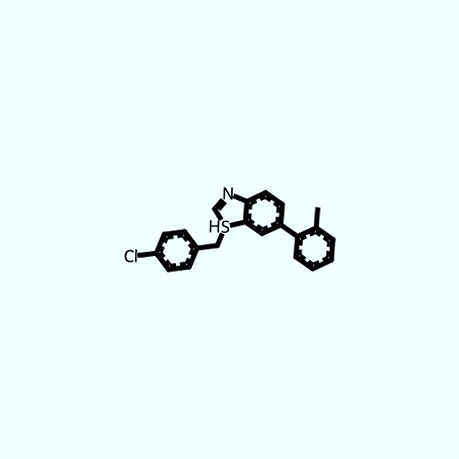 Cc1ccccc1-c1ccc2c(c1)[SH](Cc1ccc(Cl)cc1)C=N2